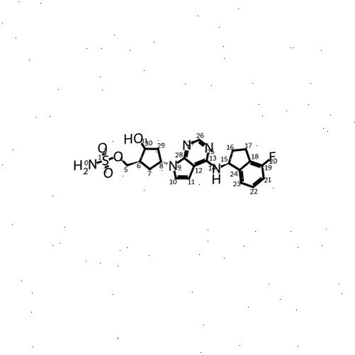 NS(=O)(=O)OC[C@@H]1C[C@@H](n2ccc3c(N[C@H]4CCc5c(F)cccc54)ncnc32)CC1O